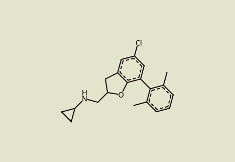 Cc1cccc(C)c1-c1cc(Cl)cc2c1OC(CNC1CC1)C2